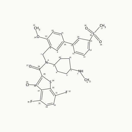 CNC1CCC(N(Cc2cc(-c3cccc(S(C)(=O)=O)c3)ccc2OC)C(=O)c2sc3c(F)ccc(F)c3c2Cl)CC1